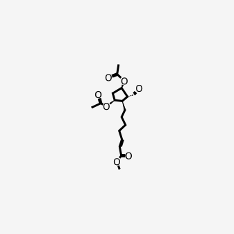 COC(=O)/C=C/CCCC[C@@H]1[C@@H](C=O)[C@H](OC(C)=O)C[C@@H]1OC(C)=O